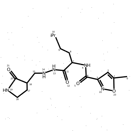 Cc1cc(C(=O)NC(CCC(C)C)C(=O)NNCC2CCNC2=O)no1